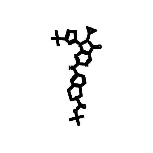 CC(C)(C)OC(=O)N1CCc2cc(Nc3ncc4c(=O)n(C5CC5)n(-c5nc(C(C)(C)C)cs5)c4n3)ccc2C1